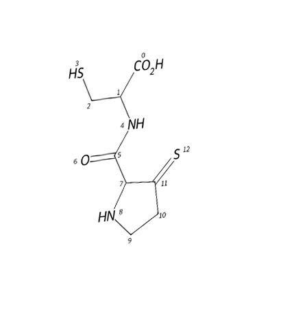 O=C(O)C(CS)NC(=O)C1NCCC1=S